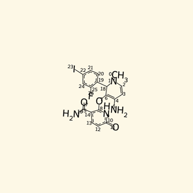 CN1C=CC(N)=C(Oc2[nH]c(=O)ccc2C(N)=O)C1c1ccc(I)cc1F